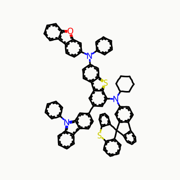 c1ccc(N(c2ccc3c(c2)oc2ccccc23)c2ccc3c(c2)sc2c(N(c4ccc5c(c4)C4(c6ccccc6Sc6ccccc64)c4ccccc4-5)C4CCCCC4)cc(-c4ccc5c6ccccc6n(-c6ccccc6)c5c4)cc23)cc1